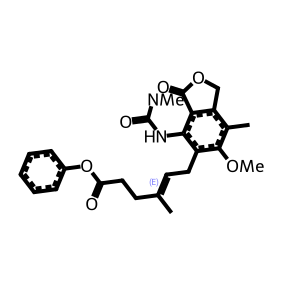 CNC(=O)Nc1c(C/C=C(\C)CCC(=O)Oc2ccccc2)c(OC)c(C)c2c1C(=O)OC2